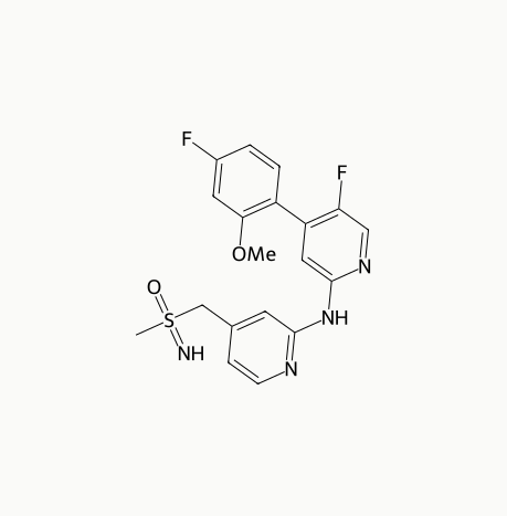 COc1cc(F)ccc1-c1cc(Nc2cc(CS(C)(=N)=O)ccn2)ncc1F